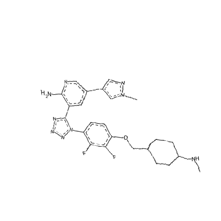 CNC1CCC(COc2ccc(-n3nnnc3-c3cc(-c4cnn(C)c4)cnc3N)c(F)c2F)CC1